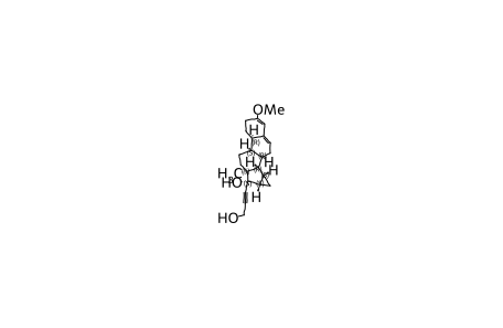 COC1=CC2=CC[C@@H]3[C@H](CC[C@@]4(C)[C@H]3[C@@H]3C[C@@H]3[C@@]4(O)C#CCO)[C@H]2CC1